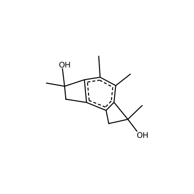 Cc1c(C)c2c(c3c1C(C)(O)C3)CC2(C)O